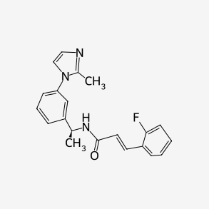 Cc1nccn1-c1cccc([C@H](C)NC(=O)C=Cc2ccccc2F)c1